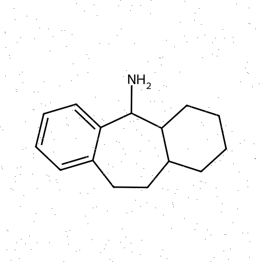 NC1c2ccccc2CCC2CCCCC21